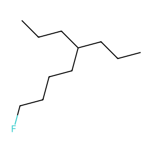 CCCC(CCC)CCCCF